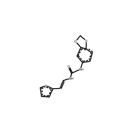 O=C(N/C=C/c1cccs1)Nc1ccc2c(c1)OCO2